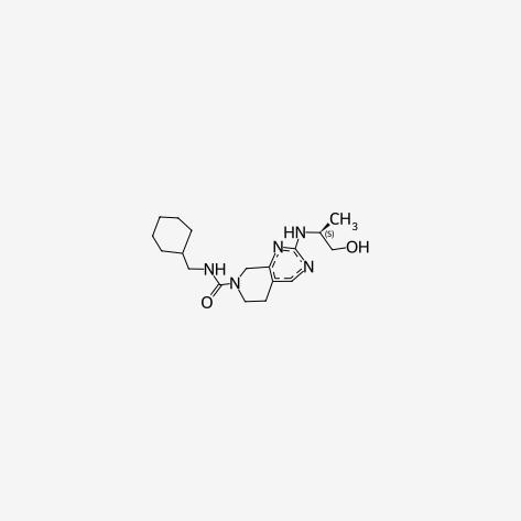 C[C@@H](CO)Nc1ncc2c(n1)CN(C(=O)NCC1CCCCC1)CC2